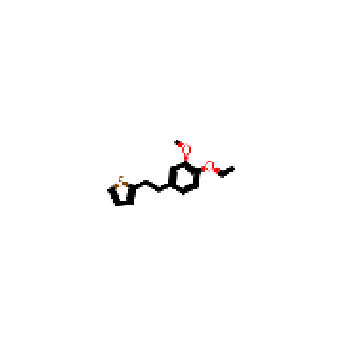 CCOc1ccc(CCc2cccs2)cc1OC